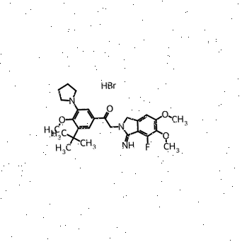 Br.COc1cc2c(c(F)c1OC)C(=N)N(CC(=O)c1cc(N3CCCC3)c(OC)c(C(C)(C)C)c1)C2